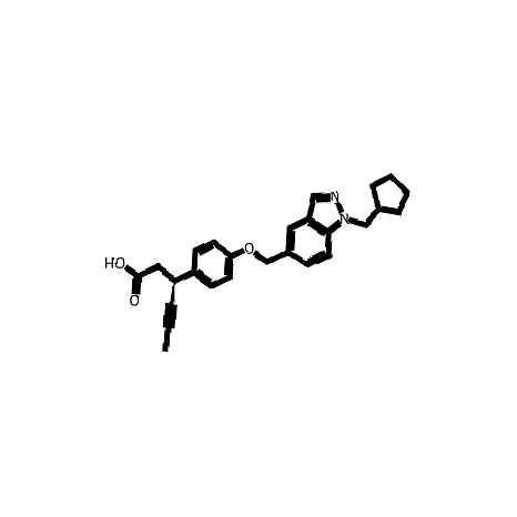 CC#C[C@@H](CC(=O)O)c1ccc(OCc2ccc3c(cnn3CC3CCCC3)c2)cc1